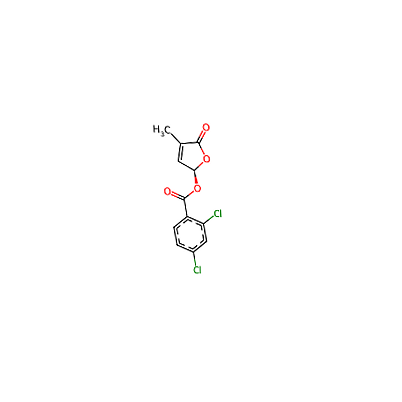 CC1=C[C@H](OC(=O)c2ccc(Cl)cc2Cl)OC1=O